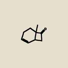 CC12CCC=CC1CC2=O